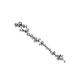 CC(=O)CN[C@@H](CCCCNC(=O)CCOCCOCCOCCOCCNC(=O)CCCC(=O)NCCOCCOCCOCCOCCC(=O)NCCCC[C@H](NCC(C)=O)C(N)=O)C(N)=O